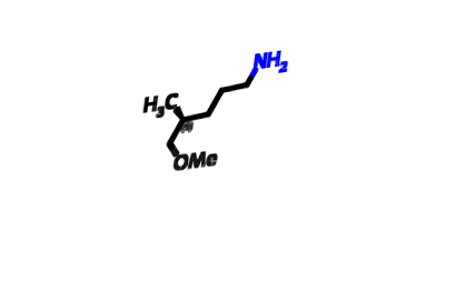 COC[C@@H](C)CCCN